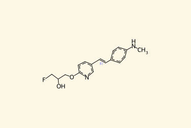 CNc1ccc(/C=C/c2ccc(OCC(O)CF)nc2)cc1